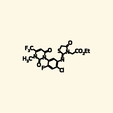 CCOC(=O)CN1C(=O)CSC1=Nc1cc(-n2c(=O)cc(C(F)(F)F)n(C)c2=O)c(F)cc1Cl